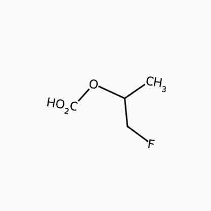 CC(CF)OC(=O)O